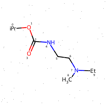 [CH2]C([CH2])OC(=O)NCCN(C)CC